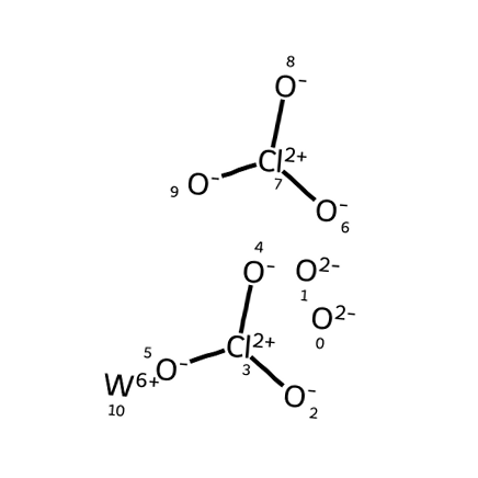 [O-2].[O-2].[O-][Cl+2]([O-])[O-].[O-][Cl+2]([O-])[O-].[W+6]